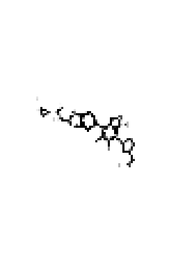 NCC1CCN(c2c(F)c(Cl)c(-c3ccc4nc(NC(=O)[C@@H]5C[C@@H]5F)sc4c3)c3cn[nH]c23)C1